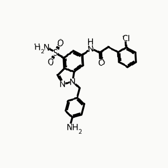 Nc1ccc(Cn2ncc3c(S(N)(=O)=O)cc(NC(=O)Cc4ccccc4Cl)cc32)cc1